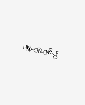 O=C(CCc1ccccc1F)N1CCC(CN2CCc3cc(-c4cn[nH]c4)ccc32)CC1